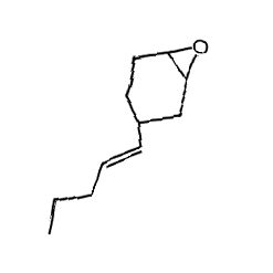 CCCC=CC1CCC2OC2C1